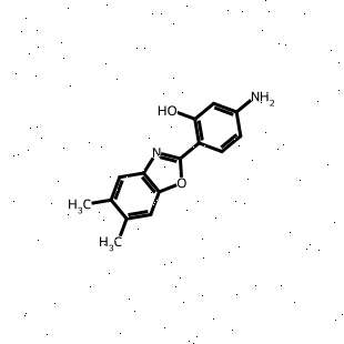 Cc1cc2nc(-c3ccc(N)cc3O)oc2cc1C